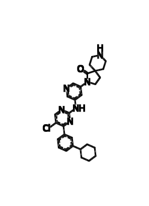 O=C1N(c2cncc(Nc3ncc(Cl)c(-c4cccc(C5CCCCC5)c4)n3)c2)CCC12CCNCC2